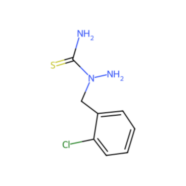 NC(=S)N(N)Cc1ccccc1Cl